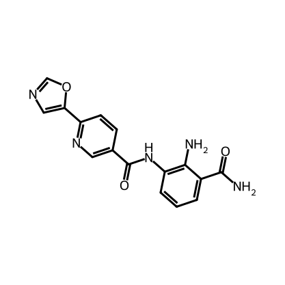 NC(=O)c1cccc(NC(=O)c2ccc(-c3cnco3)nc2)c1N